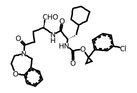 O=C[C@H](CCC(=O)N1CCOc2ccccc2C1)NC(=O)[C@H](CC1CCCCC1)NC(=O)OC1(c2cccc(Cl)c2)CC1